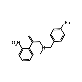 C=C(CN(C)Cc1ccc(C(C)(C)C)cc1)c1ccccc1[N+](=O)[O-]